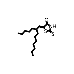 CCCCCCCC(/C=C1\SC(=S)NC1=O)CCCCC